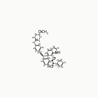 COC1CCN(Cc2ccc(C#Cc3cccc(C(=O)C(O)c4ccccc4)c3-c3ccc4cc[nH]c4c3)cc2)CC1